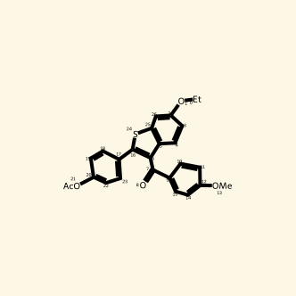 CCOc1ccc2c(C(=O)c3ccc(OC)cc3)c(-c3ccc(OC(C)=O)cc3)sc2c1